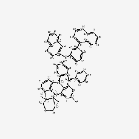 Cc1cc2c3c(c1)N1c4c(cccc4C4(C)CCCCC14C)B3c1ccc(N(c3cccc(-c4cccc5ccccc45)c3)c3ccc4ccccc4c3)cc1N2c1ccccc1